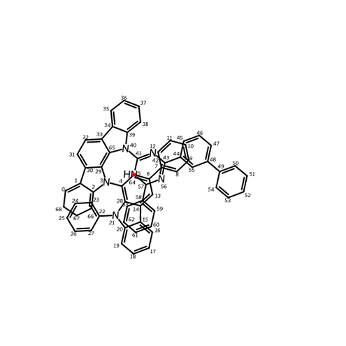 C1=c2c(n(-c3cc(-c4ccccc4)cc4c5ccccc5n(-c5ccccc5)c34)c3c2ccc2c4ccccc4n(C4=NC(c5cccc(-c6ccccc6)c5)=NC(c5ccccc5)N4)c23)=CCC1